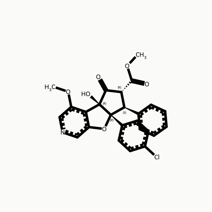 COC(=O)[C@H]1C(=O)[C@@]2(O)c3c(OC)cncc3O[C@@]2(c2ccc(Cl)cc2)[C@@H]1c1ccccc1